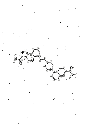 CN(C)C(=O)c1ccc2c(N3CCN(CCc4cccc5c4OCc4c(C(=O)N(C)C)ncn4-5)CC3)cccc2n1